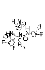 C[C@H](c1c[nH]c(=O)c2c(F)cc(F)cc12)N(CCS(N)(=O)=O)C(=O)Nc1ccc(F)c(Cl)c1